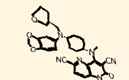 Cn1c(=O)c(C#N)c(N(C)[C@H]2CC[C@@H](N(C[C@@H]3CCCOC3)c3ccc4c(c3)OCO4)CC2)c2nc(C#N)ccc21